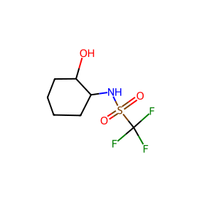 O=S(=O)(NC1CCCCC1O)C(F)(F)F